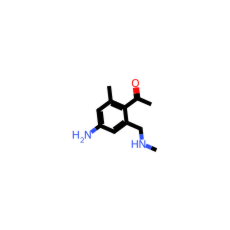 CNCc1cc(N)cc(C)c1C(C)=O